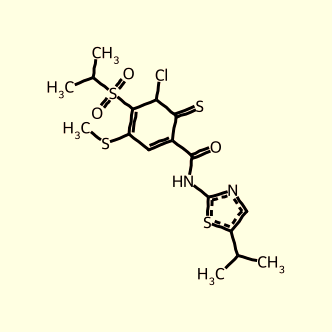 CSC1=C(S(=O)(=O)C(C)C)C(Cl)C(=S)C(C(=O)Nc2ncc(C(C)C)s2)=C1